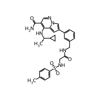 Cc1ccc(S(=O)(=O)NCC(=O)NCc2cccc(-c3cc4c(N[C@H](C)C5CC5)c(C(N)=O)cnn4c3)c2)cc1